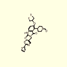 O=CN1CCC(c2c(OC(CF)CF)ccc3[nH]c(=O)n(Cc4cnc(-c5cccs5)nc4)c(=O)c23)CC1